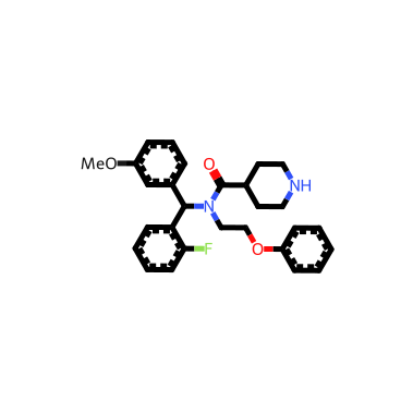 COc1cccc(C(c2ccccc2F)N(CCOc2ccccc2)C(=O)C2CCNCC2)c1